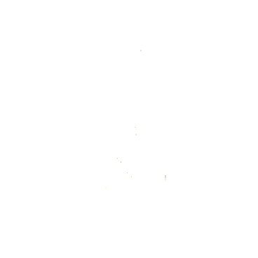 c1ccc(-c2cccc(-c3cc(-c4ccc(-c5ccc(-c6cc7c8c(cccc8c6)-c6ccccc6-7)cc5)cc4)nc(-c4ccccc4)n3)c2)cc1